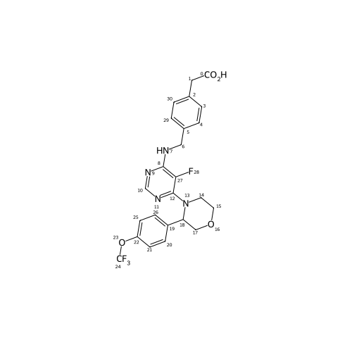 O=C(O)Cc1ccc(CNc2ncnc(N3CCOCC3c3ccc(OC(F)(F)F)cc3)c2F)cc1